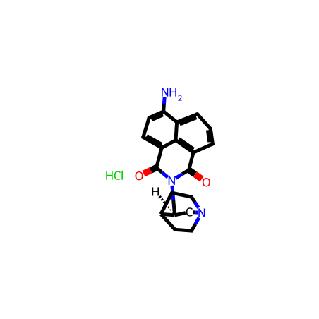 Cl.Nc1ccc2c3c(cccc13)C(=O)N([C@H]1CN3CCC1CC3)C2=O